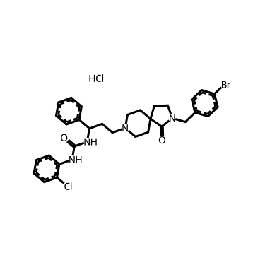 Cl.O=C(Nc1ccccc1Cl)NC(CCN1CCC2(CC1)CCN(Cc1ccc(Br)cc1)C2=O)c1ccccc1